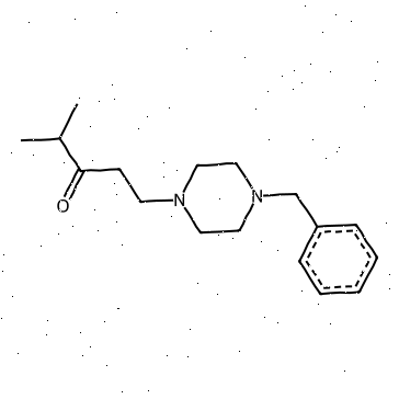 CC(C)C(=O)CCN1CCN(Cc2ccccc2)CC1